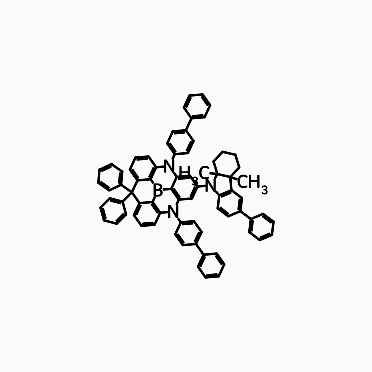 CC12CCCCC1(C)N(c1cc3c4c(c1)N(c1ccc(-c5ccccc5)cc1)c1cccc5c1B4c1c(cccc1C5(c1ccccc1)c1ccccc1)N3c1ccc(-c3ccccc3)cc1)c1ccc(-c3ccccc3)cc12